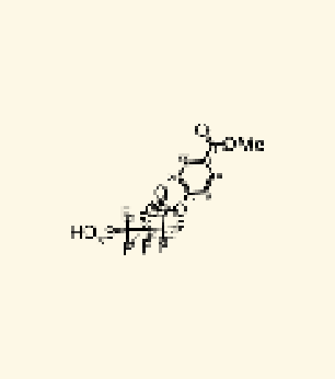 COC(=O)c1ccc(OS(=O)(=O)C(F)(F)C(F)(F)C(F)(F)S(=O)(=O)O)cc1